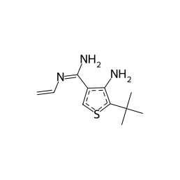 C=C/N=C(/N)c1csc(C(C)(C)C)c1N